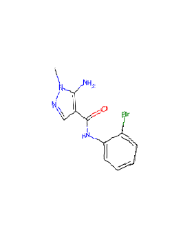 Cn1ncc(C(=O)Nc2ccccc2Br)c1N